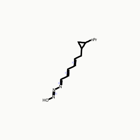 CCCC1CC1C/C=C/C=C/C=N/N=N/O